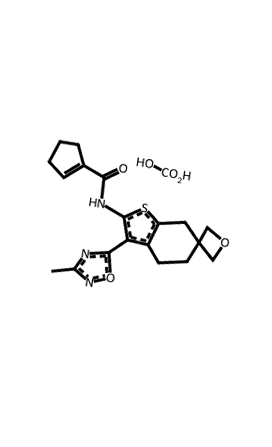 Cc1noc(-c2c(NC(=O)C3=CCCC3)sc3c2CCC2(COC2)C3)n1.O=C(O)O